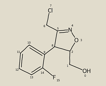 OCC1ON=C(CCl)C1c1ccccc1F